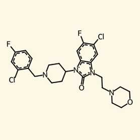 O=c1n(CCN2CCOCC2)c2cc(Cl)c(F)cc2n1C1CCN(Cc2ccc(F)cc2Cl)CC1